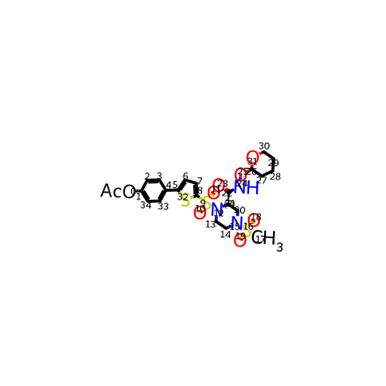 CC(=O)Oc1ccc(-c2ccc(S(=O)(=O)N3CCN(S(C)(=O)=O)C[C@@H]3C(=O)NOC3CCCCO3)s2)cc1